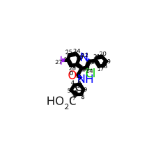 O=C(NC12CCC(C(=O)O)(CC1)CC2)c1c(Cl)c(-c2ccccc2)nc2ccc(I)cc12